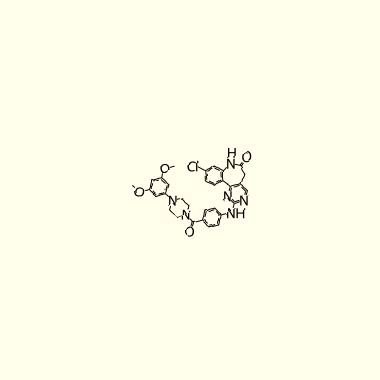 COc1cc(OC)cc(N2CCN(C(=O)c3ccc(Nc4ncc5c(n4)-c4ccc(Cl)cc4NC(=O)C5)cc3)CC2)c1